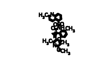 COc1ccc([C@H]2C[C@@]2(C(=O)NS(=O)(=O)c2cccc3nc(C)ccc23)c2cc(C)ccc2OC)c(C)n1